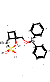 CCCCC1CCC1(CO[SiH](c1ccccc1)c1ccccc1)OS(C)(=O)=O